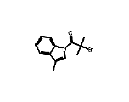 Cc1cn(C(=O)C(C)(C)Br)c2ccccc12